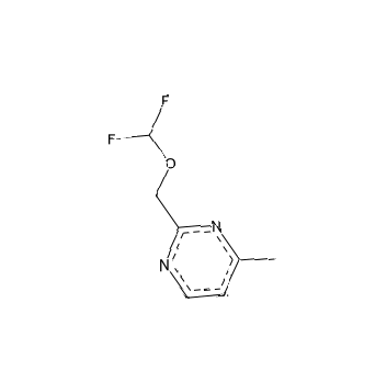 Cc1[c]cnc(COC(F)F)n1